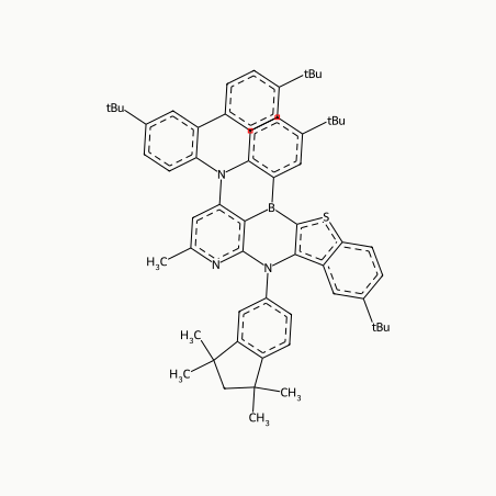 Cc1cc2c3c(n1)N(c1ccc4c(c1)C(C)(C)CC4(C)C)c1c(sc4ccc(C(C)(C)C)cc14)B3c1cc(C(C)(C)C)ccc1N2c1ccc(C(C)(C)C)cc1-c1ccc(C(C)(C)C)cc1